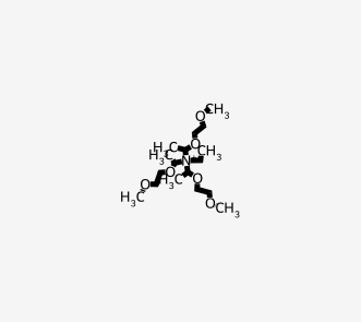 CC[N+](C(C)OCCOC)(C(C)OCCOC)C(C)OCCOC